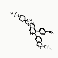 CN1CCC(C)(Cn2ccc3c(-c4ccc(C#N)cc4)c(-c4ccc5c(cnn5C)c4)ncc32)CC1